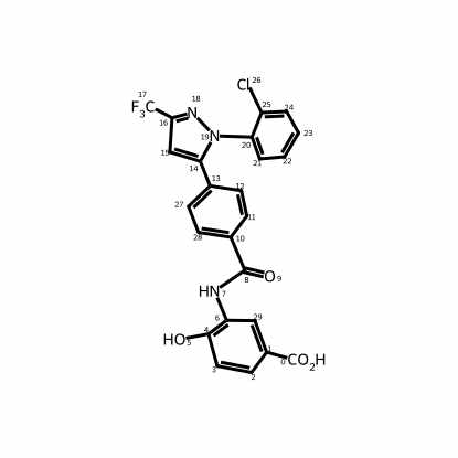 O=C(O)c1ccc(O)c(NC(=O)c2ccc(-c3cc(C(F)(F)F)nn3-c3ccccc3Cl)cc2)c1